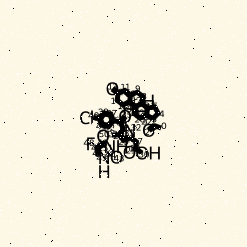 CC(=O)[C@H]1CC[C@H]2[C@@H]3CCC4=CC(=O)CC[C@]4(C)[C@H]3CC[C@]12C.Cc1cc(CC(=O)O)n(C)c1C(=O)c1ccc(Cl)cc1.O=c1[nH]cc(F)c(=O)[nH]1